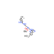 CC(C)(C)OC(=O)N(CCCCNCc1cc2cc(C(F)(F)F)ccc2[nH]1)CCNc1nc2cc(C(=O)O)ccc2c2cnccc12